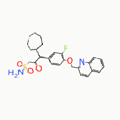 NS(=O)(=O)CC(=O)C(c1ccc(OCc2ccc3ccccc3n2)c(F)c1)C1CCCCCC1